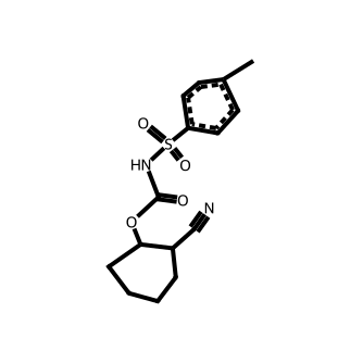 Cc1ccc(S(=O)(=O)NC(=O)OC2CCCCC2C#N)cc1